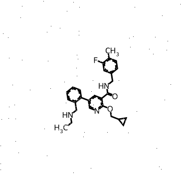 CCNCc1ccccc1-c1cnc(OCC2CC2)c(C(=O)NCc2ccc(C)c(F)c2)c1